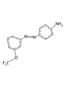 Nc1ccc(N=Nc2cccc(OC(F)(F)F)c2)cc1